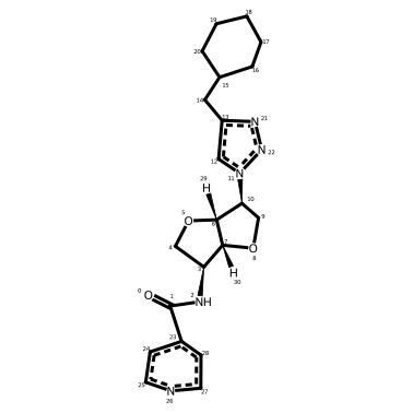 O=C(N[C@H]1CO[C@H]2[C@@H]1OC[C@@H]2n1cc(CC2CCCCC2)nn1)c1ccncc1